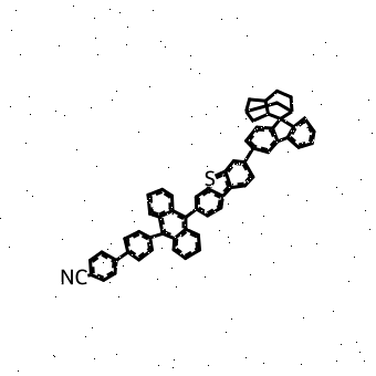 N#Cc1ccc(-c2ccc(-c3c4ccccc4c(-c4ccc5c(c4)sc4cc(-c6ccc7c(c6)-c6ccccc6C76C7CCC8CC(C7)CC86)ccc45)c4ccccc34)cc2)cc1